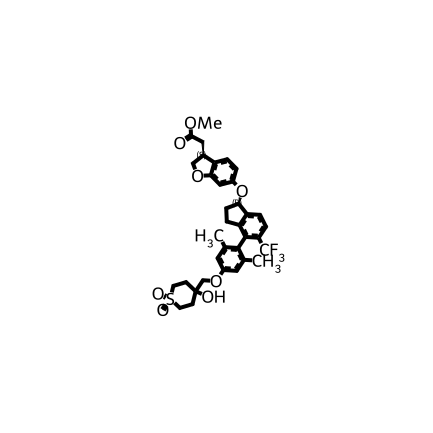 COC(=O)C[C@@H]1COc2cc(O[C@@H]3CCc4c3ccc(C(F)(F)F)c4-c3c(C)cc(OCC4(O)CCS(=O)(=O)CC4)cc3C)ccc21